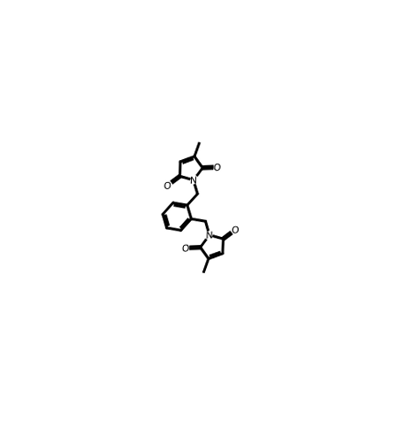 CC1=CC(=O)N(Cc2ccccc2CN2C(=O)C=C(C)C2=O)C1=O